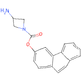 NC1CN(C(=O)Oc2ccc3ccc4ccccc4c3c2)C1